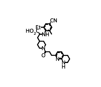 CCc1cc(C#N)cc(C)c1NC(CC1CCN(C(=O)CCc2ccc3c(n2)NCCC3)CC1)C(=O)O